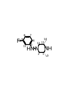 C[C@@H]1CN(Nc2cccc(F)c2)C[C@H](C)N1